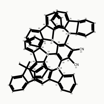 CC1(C)c2ccccc2-c2cc3c4ccccc4n(-c4c(C#N)c(C#N)c(-n5c6ccccc6c6ccccc65)c(-n5c6ccccc6c6ccccc65)c4-n4c5ccccc5c5ccccc54)c3cc21